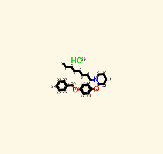 CCCCCCCCN1CCCCC1Oc1ccc(OCc2ccccc2)cc1.Cl